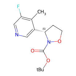 Cc1c(F)cncc1[C@@H]1CCON1C(=O)OC(C)(C)C